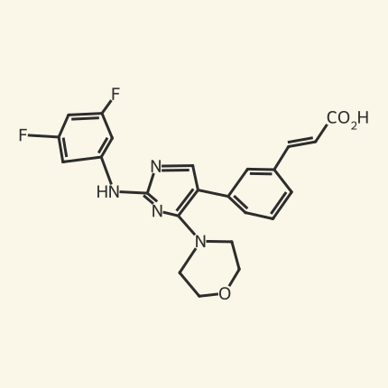 O=C(O)C=Cc1cccc(-c2cnc(Nc3cc(F)cc(F)c3)nc2N2CCOCC2)c1